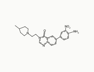 CC1CCN(CCn2cnc3ccc(-c4ccc(N)c([N+](=O)[O-])c4)cc3c2=O)CC1